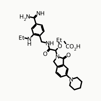 CC(=O)O.CCNc1cc(C(=N)N)ccc1CNC(=O)C(OCC)N1Cc2ccc(N3CCCCC3)cc2C1=O